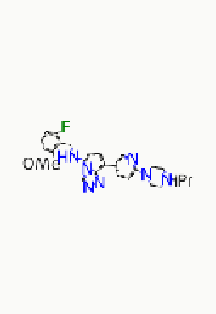 COc1cccc(F)c1CNc1ccc(-c2ccc(N3CCN(C(C)C)CC3)nc2)c2nncn12